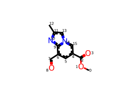 COC(=O)c1cc(C=O)c2nc(C)cn2c1